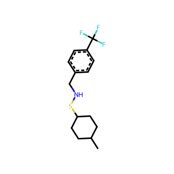 CC1CCC(SNCc2ccc(C(F)(F)F)cc2)CC1